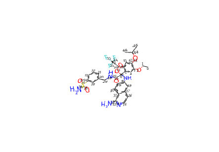 CCOc1cc([C@@](Nc2ccc3c(N)nccc3c2)(OC(=O)C(F)(F)F)C(=O)NCc2cccc(S(N)(=O)=O)c2)ccc1OC(C)C